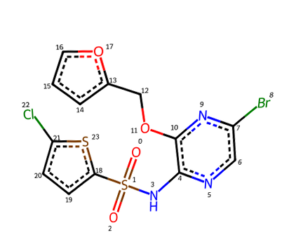 O=S(=O)(Nc1ncc(Br)nc1OCc1ccco1)c1ccc(Cl)s1